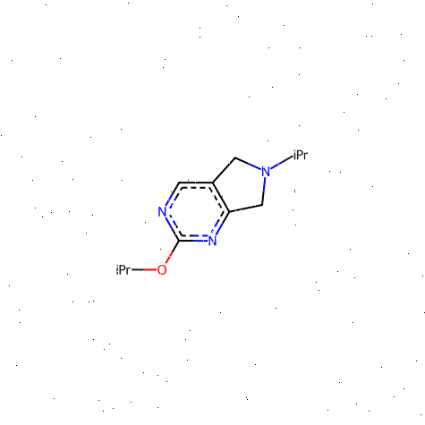 CC(C)Oc1ncc2c(n1)CN(C(C)C)C2